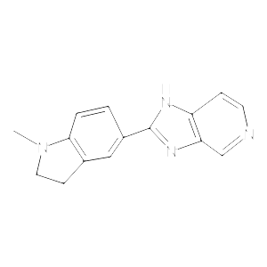 CN1CCc2cc(-c3nc4cnccc4[nH]3)ccc21